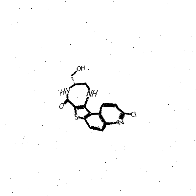 O=C1N[C@H](CO)CNc2c1sc1ccc3nc(Cl)ccc3c21